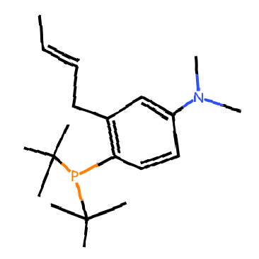 CC=CCc1cc(N(C)C)ccc1P(C(C)(C)C)C(C)(C)C